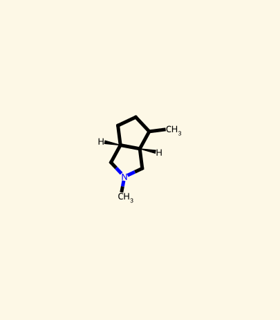 CC1CC[C@H]2CN(C)C[C@@H]12